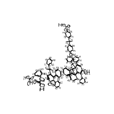 CC(C)(c1ccccc1)C1(C(C)(C)c2ccccc2)C(c2ccccc2)=CC(O)=C(c2ccccc2)C1c1ccccc1.CC(C)(c1ccccc1)c1ccc(O)c(-c2ccccc2)c1-c1ccccc1.CC(C)(c1ccccc1)c1ccc(O)cc1.O=C(O)O.O=C(O)O.O=C(O)Oc1ccccc1